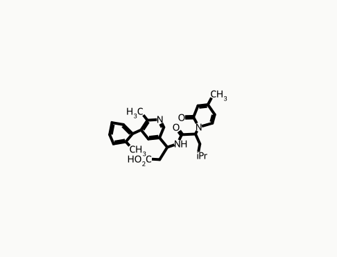 Cc1ccn(C(CC(C)C)C(=O)NC(CC(=O)O)c2cnc(C)c(-c3ccccc3C)c2)c(=O)c1